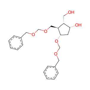 OC[C@H]1[C@H](COCOCc2ccccc2)[C@@H](OCOCc2ccccc2)C[C@H]1O